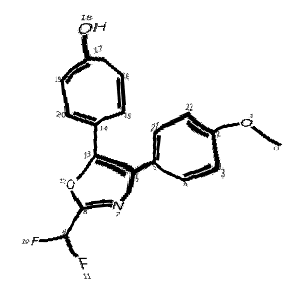 COc1ccc(-c2nc(C(F)F)oc2-c2ccc(O)cc2)cc1